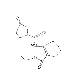 CCOC(=O)C1=C(NC(=O)C2CCC(=O)C2)CCCC1